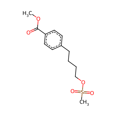 COC(=O)c1ccc(CCCCOS(C)(=O)=O)cc1